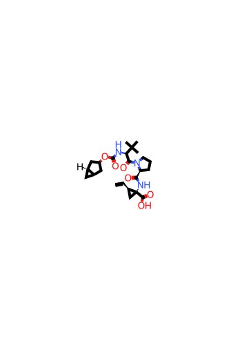 C=C[C@@H]1C[C@]1(NC(=O)[C@@H]1CCCN1C(=O)[C@@H](NC(=O)OC1CC2C[C@H]2C1)C(C)(C)C)C(=O)O